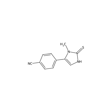 Cn1c(-c2ccc(C#N)cc2)c[nH]c1=S